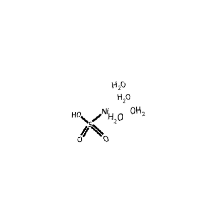 O.O.O.O.O=[S](=O)(O)[Ni]